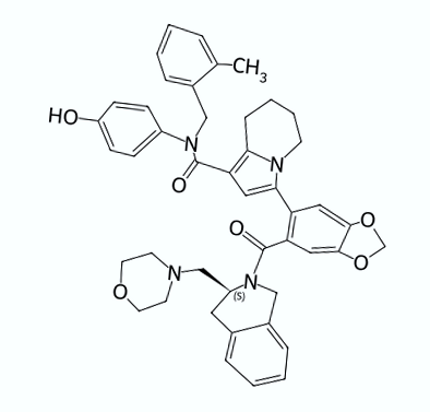 Cc1ccccc1CN(C(=O)c1cc(-c2cc3c(cc2C(=O)N2Cc4ccccc4C[C@H]2CN2CCOCC2)OCO3)n2c1CCCC2)c1ccc(O)cc1